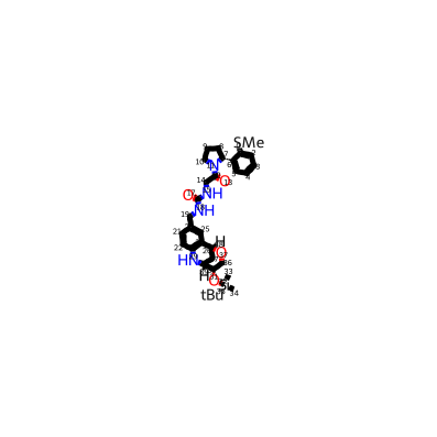 CSc1ccccc1[C@H]1CCCN1C(=O)CNC(=O)NCc1ccc2c(c1)[C@H]1C[C@@H](N2)[C@H](O[Si](C)(C)C(C)(C)C)CO1